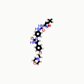 CC(C)(C)c1cc(NC(=O)Nc2ccc(-n3cc(-c4ccc(OCCN5CCOCC5)cc4)[nH]c3=O)cc2)no1